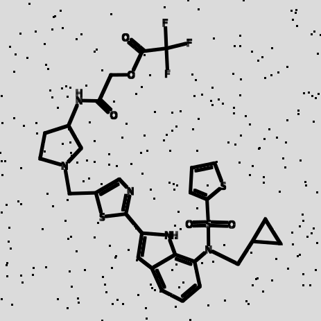 O=C(COC(=O)C(F)(F)F)NC1CCN(Cc2cnc(-c3cc4cccc(N(CC5CC5)S(=O)(=O)c5cccs5)c4[nH]3)s2)C1